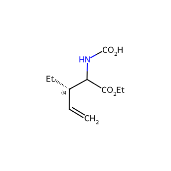 C=C[C@H](CC)C(NC(=O)O)C(=O)OCC